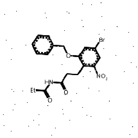 CCC(=O)NC(=O)CCc1c(OCc2ccccc2)cc(Br)cc1[N+](=O)[O-]